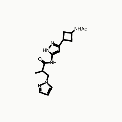 CC(=O)NC1CC(c2cc(NC(=O)C(C)Cn3cccn3)[nH]n2)C1